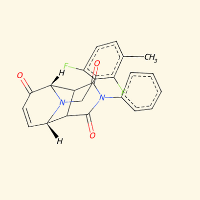 Cc1ccc(F)c(CN2[C@@H]3C(=O)C=C[C@H]2C2C(=O)N(c4ccccc4)C(=O)C23)c1F